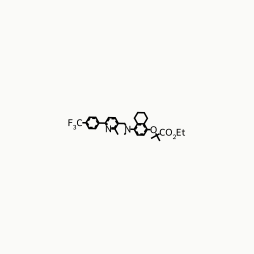 CCOC(=O)C(C)(C)Oc1ccc(N(C)Cc2ccc(-c3ccc(C(F)(F)F)cc3)nc2C)c2c1CCCC2